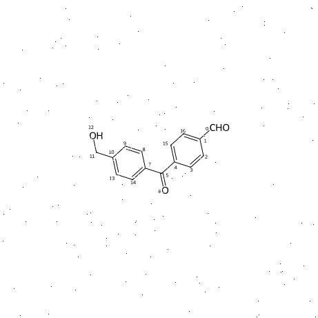 O=Cc1ccc(C(=O)c2ccc(CO)cc2)cc1